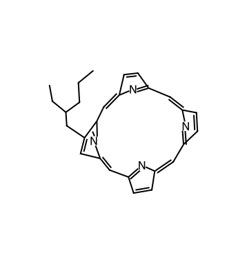 CCCC(CC)CC1=CC2=CC3=NC(=CC4=NC(=CC5=NC(=CC1=N2)C=C5)C=C4)C=C3